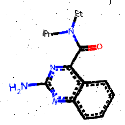 CCN(C(=O)c1nc(N)nc2ccccc12)C(C)C